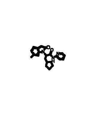 Cc1ccc2c(c1)N(C(CC1CCCC1)C(=O)Nc1ccccn1)C(=O)C2